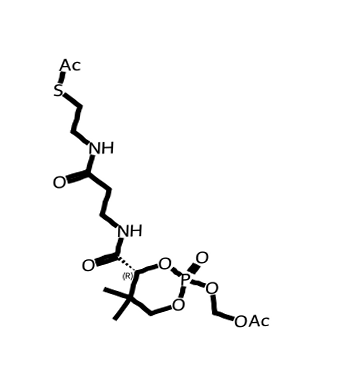 CC(=O)OCOP1(=O)OCC(C)(C)[C@H](C(=O)NCCC(=O)NCCSC(C)=O)O1